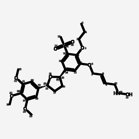 CCCOc1c(OCC=CCNO)cc([C@H]2CC[C@H](c3cc(OC)c(OC)c(OC)c3)O2)cc1S(C)(=O)=O